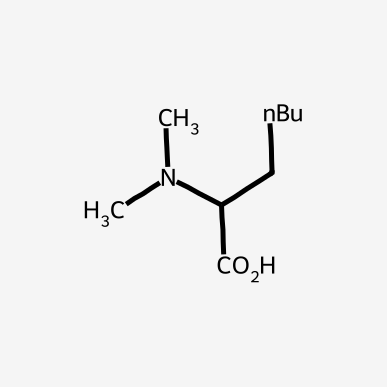 CCCCCC(C(=O)O)N(C)C